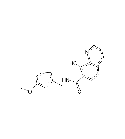 COc1cccc(CNC(=O)c2ccc3cccnc3c2O)c1